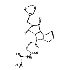 N=C(N)Nc1ccc(C2C3C(=O)N(Cc4ccccc4)C(=O)C3C3CCCN32)cc1